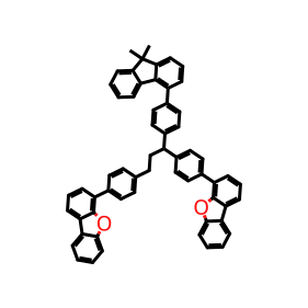 CC1(C)c2ccccc2-c2c(-c3ccc(C(CCc4ccc(-c5cccc6c5oc5ccccc56)cc4)c4ccc(-c5cccc6c5oc5ccccc56)cc4)cc3)cccc21